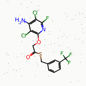 Nc1c(Cl)c(F)nc(OCC(=O)SCc2cccc(C(F)(F)F)c2)c1Cl